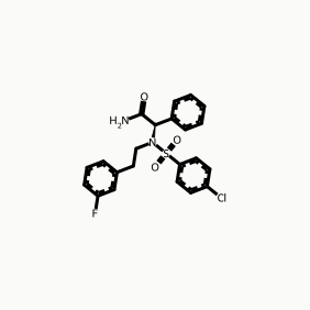 NC(=O)[C@@H](c1ccccc1)N(CCc1cccc(F)c1)S(=O)(=O)c1ccc(Cl)cc1